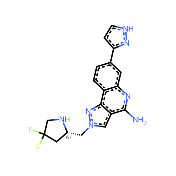 Nc1nc2cc(-c3cc[nH]n3)ccc2c2nn(C[C@@H]3CC(F)(F)CN3)cc12